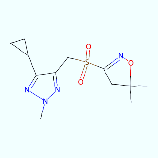 Cn1nc(CS(=O)(=O)C2=NOC(C)(C)C2)c(C2CC2)n1